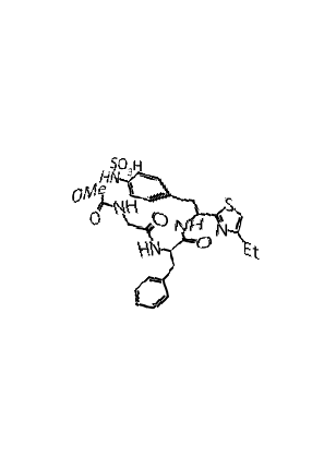 CCc1csc(C(Cc2ccc(NS(=O)(=O)O)cc2)NC(=O)C(Cc2ccccc2)NC(=O)CNC(=O)OC)n1